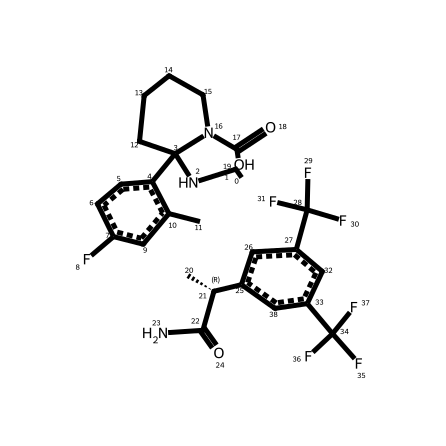 CCNC1(c2ccc(F)cc2C)CCCCN1C(=O)O.C[C@@H](C(N)=O)c1cc(C(F)(F)F)cc(C(F)(F)F)c1